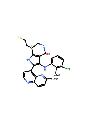 COc1ccc2nccc(-c3[nH]c4c(c3Nc3cccc(Cl)c3OC)C(=O)NC[C@@H]4CCF)c2n1